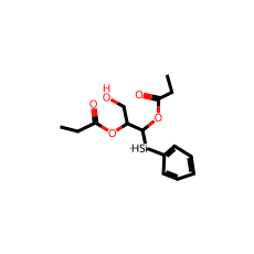 CCC(=O)OC(CO)C(OC(=O)CC)[SiH]c1ccccc1